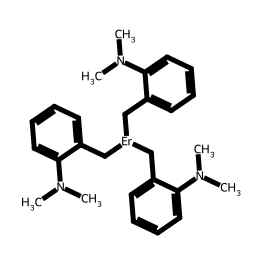 CN(C)c1ccccc1[CH2][Er]([CH2]c1ccccc1N(C)C)[CH2]c1ccccc1N(C)C